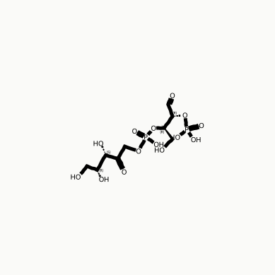 O=C[C@H](OP(=O)(O)O)[C@@H](CO)OP(=O)(O)OCC(=O)[C@@H](O)[C@H](O)CO